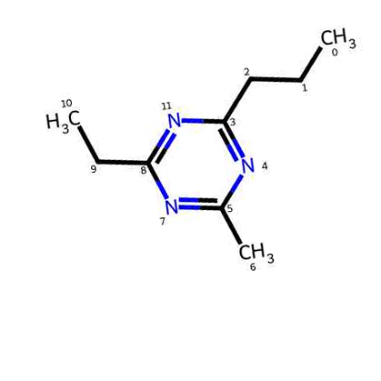 CCCc1nc(C)nc(CC)n1